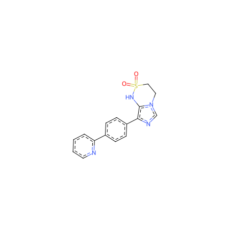 O=S1(=O)CCn2cnc(-c3ccc(-c4ccccn4)cc3)c2N1